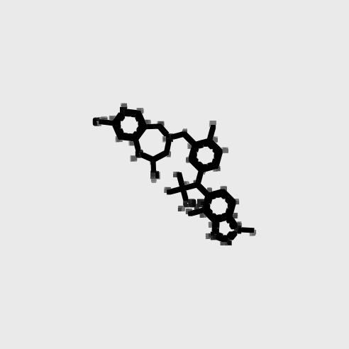 CCC1CN(Cc2cc(C(c3ccc4c(nnn4C)c3C)C(C)(C)C(=O)O)ccc2C)Cc2cnc(Cl)cc2O1